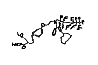 CCOC(Cc1ccc(OCCN(CC(F)(F)C(F)(F)C(F)(F)C(F)(F)C(F)(F)F)C(=O)OC2CCCCC2)cc1)C(=O)O